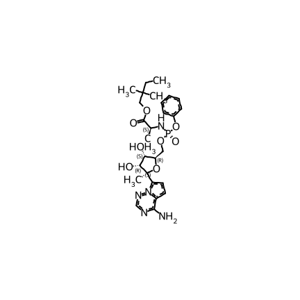 CCC(C)(C)COC(=O)[C@H](C)NP(=O)(OC[C@H]1O[C@@](C)(c2ccc3c(N)ncnn23)[C@H](O)[C@@H]1O)Oc1ccccc1